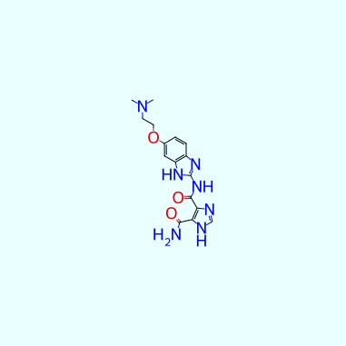 CN(C)CCOc1ccc2nc(NC(=O)c3nc[nH]c3C(N)=O)[nH]c2c1